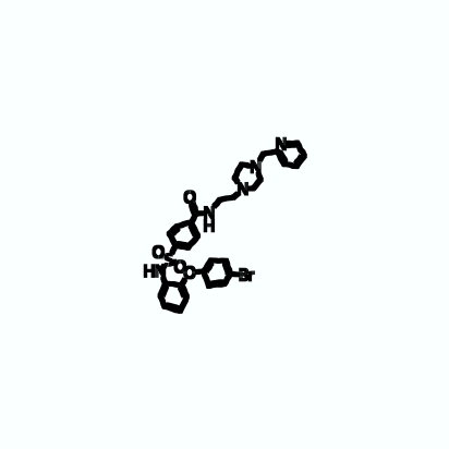 O=C(NCCN1CCN(Cc2ccccn2)CC1)c1ccc(S(=O)(=O)Nc2ccccc2Oc2ccc(Br)cc2)cc1